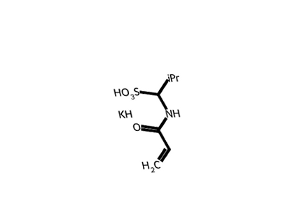 C=CC(=O)NC(C(C)C)S(=O)(=O)O.[KH]